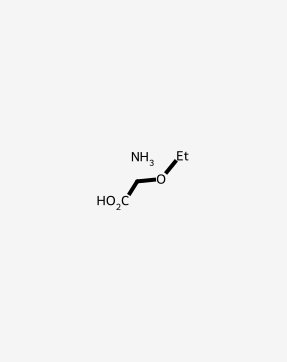 CCOCC(=O)O.N